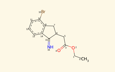 CCOC(=O)CC1Cc2c(Br)cccc2C1=N